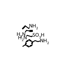 C#CCN.C=CCN.Cc1ccc(CCN)cc1.NCCS(=O)(=O)O